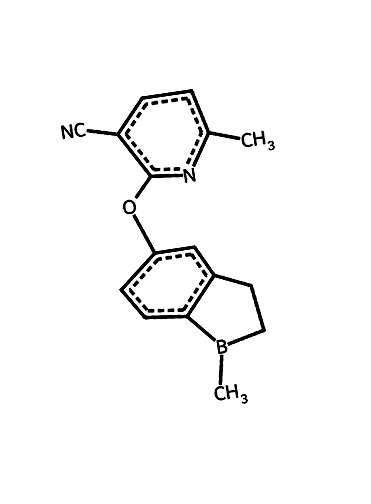 CB1CCc2cc(Oc3nc(C)ccc3C#N)ccc21